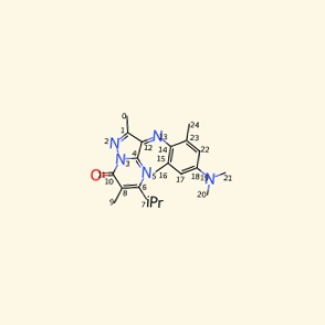 CC1=Nn2c(nc(C(C)C)c(C)c2=O)C1=Nc1c(C)cc(N(C)C)cc1C